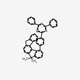 CC1(C)c2cccc(-c3ccc(-c4nc(-c5ccccc5)nc(-c5ccccc5)n4)cc3)c2-c2c1ccc1c2-c2ccccc2C1